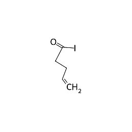 C=CCCC(=O)I